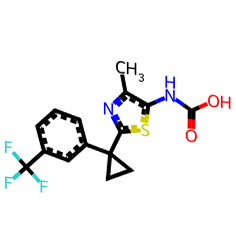 Cc1nc(C2(c3cccc(C(F)(F)F)c3)CC2)sc1NC(=O)O